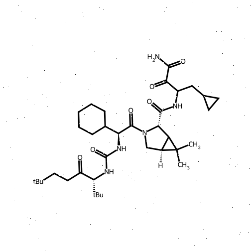 CC(C)(C)CCC(=O)[C@H](NC(=O)N[C@H](C(=O)N1C[C@H]2C([C@H]1C(=O)NC(CC1CC1)C(=O)C(N)=O)C2(C)C)C1CCCCC1)C(C)(C)C